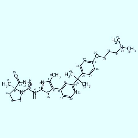 Cc1nc(NC(=O)N2CCC[C@@]2(C)C(N)=O)sc1-c1ccnc(C(C)(C)c2ccc(OCCCN(C)C)cc2)c1